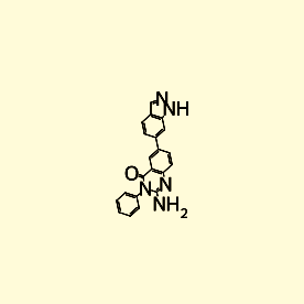 Nc1nc2ccc(-c3ccc4cn[nH]c4c3)cc2c(=O)n1-c1ccccc1